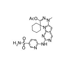 CC(=O)OC1=NN(C)c2cc3cnc(Nc4ccc(S(N)(=O)=O)cn4)nc3n2C12CCCCC2